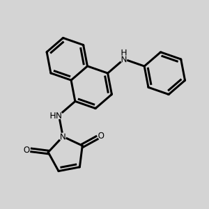 O=C1C=CC(=O)N1Nc1ccc(Nc2ccccc2)c2ccccc12